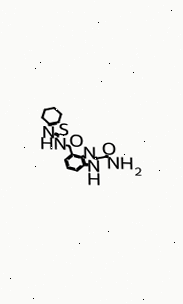 NC(=O)c1nc2c(C(=O)Nc3nc4c(s3)CCCC4)cccc2[nH]1